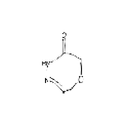 O=C1COC=NN1